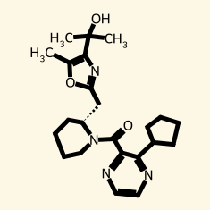 Cc1oc(C[C@H]2CCCCN2C(=O)c2nccnc2C2CCCC2)nc1C(C)(C)O